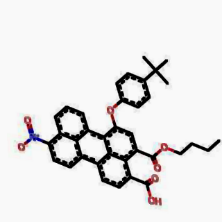 CCCCOC(=O)c1cc(Oc2ccc(C(C)(C)C)cc2)c2c3cccc4c([N+](=O)[O-])ccc(c5ccc(C(=O)O)c1c52)c43